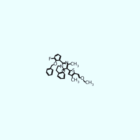 CCOC=Cc1sc(-c2c(C)nc(-c3cccc(F)c3OCc3ccccc3)n(CCc3ccccc3)c2=O)cc1C